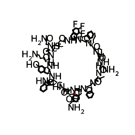 CCCC[C@H]1C(=O)N2CCC[C@@H]2C(=O)N[C@@H](CN)C(=O)N[C@@H](C(C)C)C(=O)N(C)[C@@H](Cc2ccccc2)C(=O)N[C@@H](Cc2ccc(CN)cc2)C(=O)N2C[C@@H](O)C[C@@H]2C(=O)NC[C@@H](Cc2c[nH]c3ccccc23)C(=O)N[C@@H](Cc2ccc(O)cc2)C(=O)N[C@@H](CCCCN)C(=O)N[C@H](C(=O)NCC(N)=O)CSCC(=O)N[C@@H](Cc2cc(F)c(F)c(F)c2)C(=O)N(C)[C@@H](Cc2ccccc2)C(=O)N1C